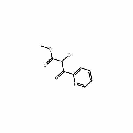 COC(=O)N(O)C(=O)c1ccccn1